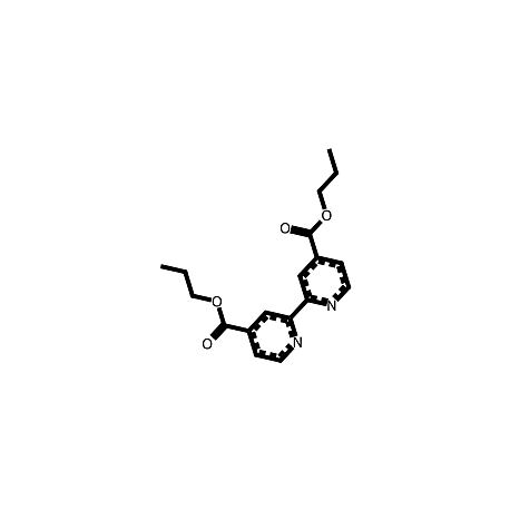 CCCOC(=O)c1ccnc(-c2cc(C(=O)OCCC)ccn2)c1